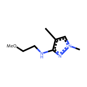 COCCNc1nn(C)cc1C